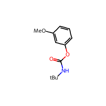 COc1cccc(OC(=O)NC(C)(C)C)c1